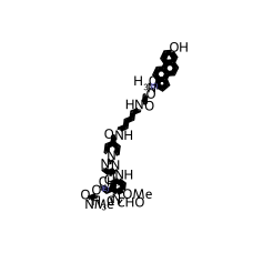 CNC(=O)CO/C(C)=C/c1cc(Nc2nc(N3CCC(C(=O)NCCCCCCNC(=O)CO/N=C4\CCC5C6CCc7cc(O)ccc7C6CCC45C)CC3)ncc2Cl)cc(OC)c1N(C)C=O